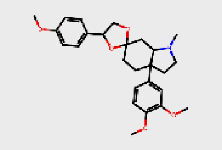 COc1ccc(C2COC3(CCC4(c5ccc(OC)c(OC)c5)CCN(C)C4C3)O2)cc1